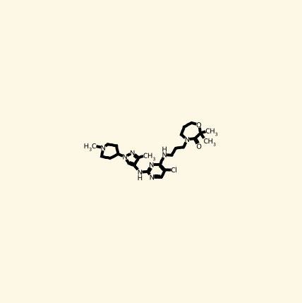 Cc1nn(C2CCN(C)CC2)cc1Nc1ncc(Cl)c(NCCCN2CCCOC(C)(C)C2=O)n1